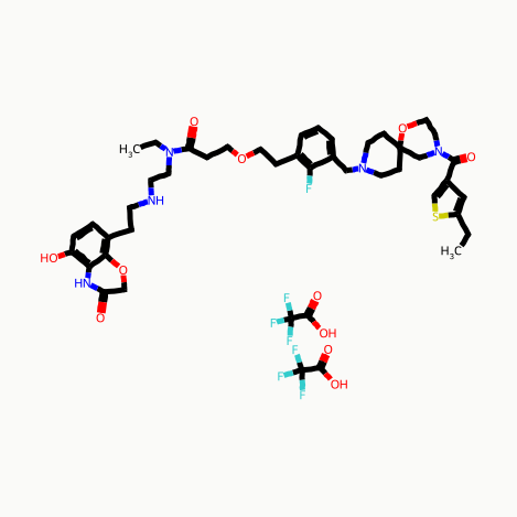 CCc1cc(C(=O)N2CCOC3(CCN(Cc4cccc(CCOCCC(=O)N(CC)CCNCCc5ccc(O)c6c5OCC(=O)N6)c4F)CC3)C2)cs1.O=C(O)C(F)(F)F.O=C(O)C(F)(F)F